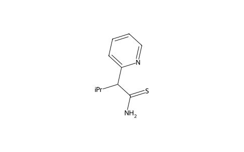 CC(C)C(C(N)=S)c1ccccn1